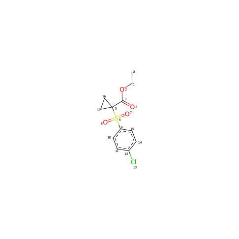 CCOC(=O)C1(S(=O)(=O)c2ccc(Cl)cc2)CC1